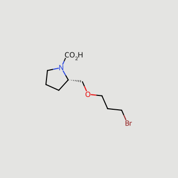 O=C(O)N1CCC[C@H]1COCCCBr